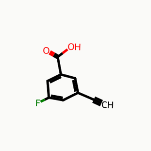 C#Cc1cc(F)cc(C(=O)O)c1